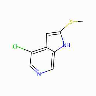 CSc1cc2c(Cl)cncc2[nH]1